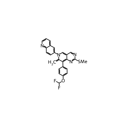 C=C1C(c2ccc(OC(F)F)cc2)=c2nc(SC)ncc2=CN1c1ccc2ncccc2c1